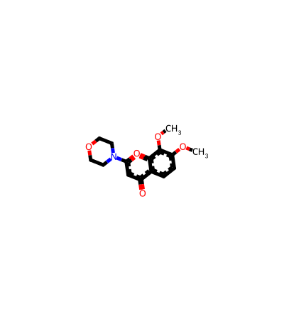 COc1ccc2c(=O)cc(N3CCOCC3)oc2c1OC